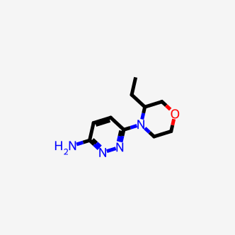 CCC1COCCN1c1ccc(N)nn1